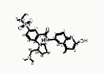 Cc1cc(O)nc2ccc(NC(=O)c3cc(S(=O)(=O)N(C)C)ccc3N3CCCC3CN(C)C)cc12